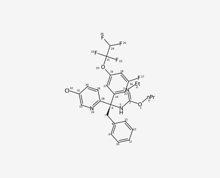 CCCO/C(=N\CC)N[C@@](Cc1ccccc1)(c1cc(F)cc(OC(F)(F)C(F)F)c1)c1ccc(Cl)cn1